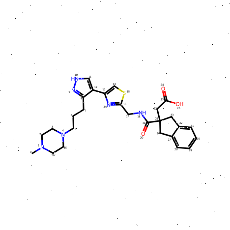 CN1CCN(CCCc2n[nH]cc2-c2csc(CNC(=O)C3(CC(=O)O)Cc4ccccc4C3)n2)CC1